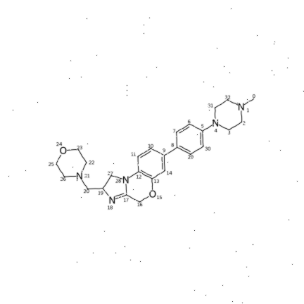 CN1CCN(c2ccc(-c3ccc4c(c3)OCC3=NC(CN5CCOCC5)CN34)cc2)CC1